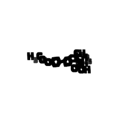 COCOc1ccc(-c2ccc3c(c2)CC(C)(C)C3NC(=O)O)cc1